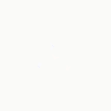 N#Cc1cccnc1OCC1CO1